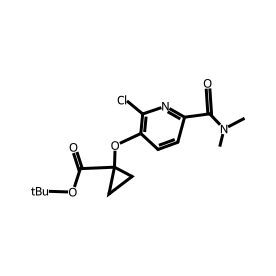 CN(C)C(=O)c1ccc(OC2(C(=O)OC(C)(C)C)CC2)c(Cl)n1